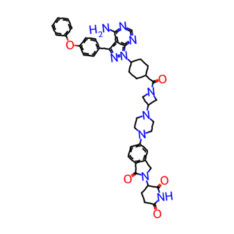 Nc1ncnc2c1c(-c1ccc(Oc3ccccc3)cc1)nn2C1CCC(C(=O)N2CC(N3CCN(c4ccc5c(c4)CN(C4CCC(=O)NC4=O)C5=O)CC3)C2)CC1